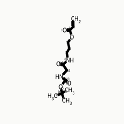 C=CC(=O)OCCCNC(=O)CNC(=O)OC(C)(C)C